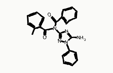 Cc1ccccc1C(=O)N(C(=O)c1ccccc1)c1nc(N)n(-c2ccccc2)n1